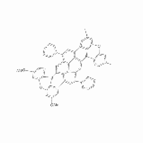 COc1ccc2c(c1)Oc1cc(OC)cc3c1B2c1cc2c(-c4ccccc4)cc4c5c(cc6c(-c7ccccc7)cc-3c1c6c25)B1c2ccc(C)cc2Oc2cc(C)cc-4c21